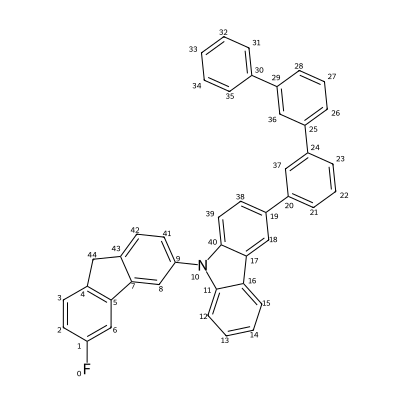 Fc1ccc2c(c1)-c1cc(-n3c4ccccc4c4cc(-c5cccc(-c6cccc(-c7ccccc7)c6)c5)ccc43)ccc1C2